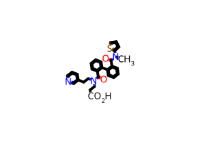 CN(C(=O)c1ccccc1-c1ccccc1C(=O)N(CCC(=O)O)CCc1cccnc1)c1cccs1